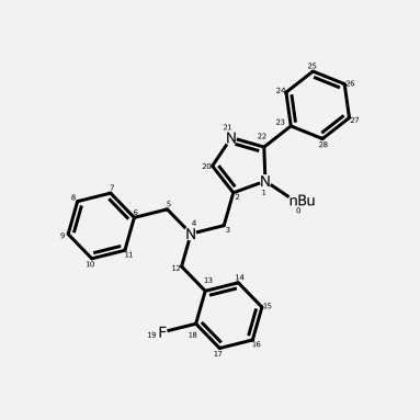 CCCCn1c(CN(Cc2ccccc2)Cc2ccccc2F)cnc1-c1ccccc1